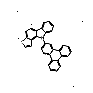 c1ccc2c(c1)c1ccccc1c1cc(-n3c4ccccc4c4ccc5sccc5c43)ccc21